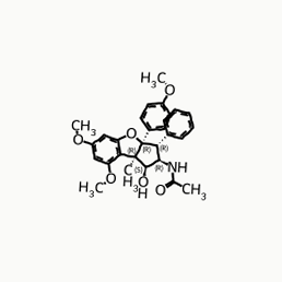 COc1ccc([C@@]23Oc4cc(OC)cc(OC)c4[C@]2(C)[C@H](O)[C@H](NC(C)=O)[C@H]3c2ccccc2)cc1